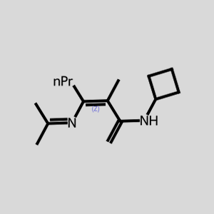 C=C(NC1CCC1)/C(C)=C(/CCC)N=C(C)C